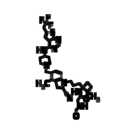 Cc1c(CN2CCC(Nc3ncnc4sc(CC(F)(F)F)cc34)CC2)ccc2c1cc(C#N)n2CCCC1(NC(=O)CNC=O)CC[C@@H]1C